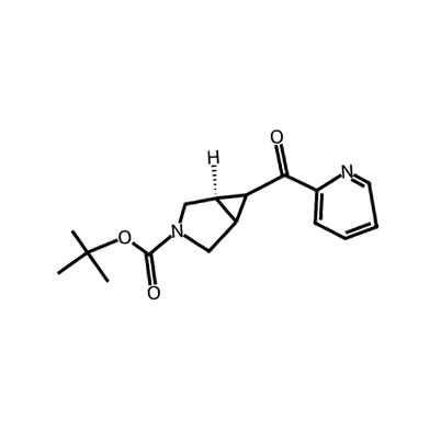 CC(C)(C)OC(=O)N1CC2C(C(=O)c3ccccn3)[C@@H]2C1